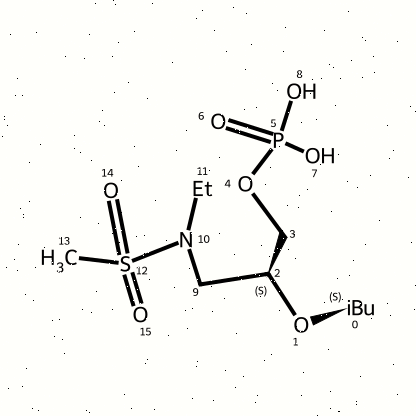 CC[C@H](C)O[C@H](COP(=O)(O)O)CN(CC)S(C)(=O)=O